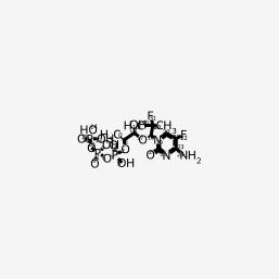 C[C@@H](OP(=O)(O)OP(=O)(O)OP(=O)(O)O)[C@H](O)O[C@@H](n1cc(F)c(N)nc1=O)C(C)(C)F